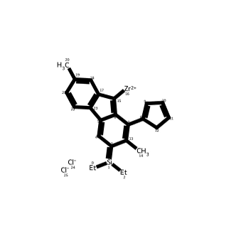 CC[Si](CC)=c1cc2c(c(C3=CC=CC3)c1C)=[C]([Zr+2])c1cc(C)ccc1-2.[Cl-].[Cl-]